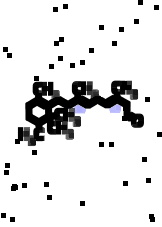 CC1=C(CC/C(C)=C/C/C=C(\C)CC=O)C(C)(C)C(C)CC1